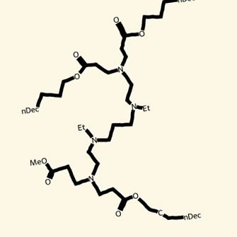 CCCCCCCCCCCCCOC(=O)CCN(CCC(=O)OC)CCN(CC)CCCN(CC)CCN(CCC(=O)OCCCCCCCCCCCCC)CCC(=O)OCCCCCCCCCCCCC